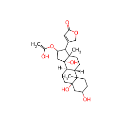 C=C(O)OC1CC2(O)[C@@H]3CCC4(O)CC(O)CCC4(C)[C@H]3CCC2(C)C1C1=CC(=O)OC1